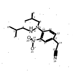 CC(C)CNN(CC(C)C)c1ccc(CC#N)cc1[N+](=O)[O-]